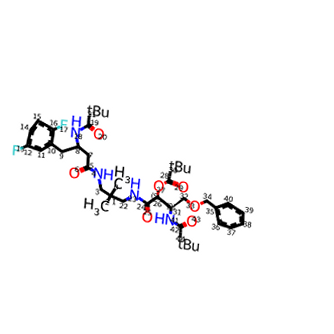 CC(C)(CNC(=O)CC(Cc1cc(F)ccc1F)NC(=O)C(C)(C)C)CNC(=O)[C@@H](OC(=O)C(C)(C)C)[C@@H](COCc1ccccc1)NC(=O)C(C)(C)C